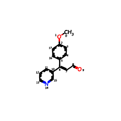 COc1ccc(/C(=C\C=O)c2cccnc2)cc1